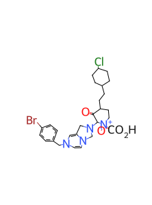 O=C1C(CCC2CCC(Cl)CC2)CC[N+]([O-])(C(=O)O)C1N1CC2=CN(Cc3ccc(Br)cc3)C=CN2C1